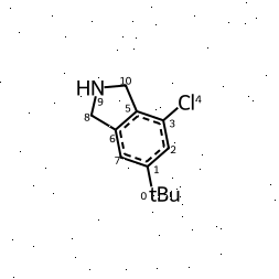 CC(C)(C)c1cc(Cl)c2c(c1)CNC2